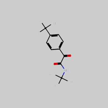 CC(C)(C)NC(=O)C(=O)c1ccc(C(C)(C)C)cc1